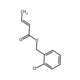 CC=CC(=O)OCc1ccccc1Cl